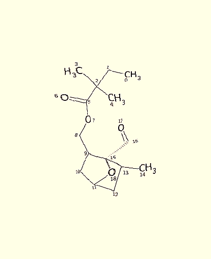 CCC(C)(C)C(=O)OCC1CC2CC(C)[C@@]1(C=O)O2